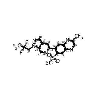 CCS(=O)(=O)c1cc2ncc(C(F)(F)F)nc2cc1-c1cc2cnn(CC(F)(F)C(F)(F)F)c2cn1